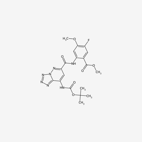 COC(=O)c1cc(F)c(OC)cc1NC(=O)c1cc(NC(=O)OC(C)(C)C)c2nnnn2n1